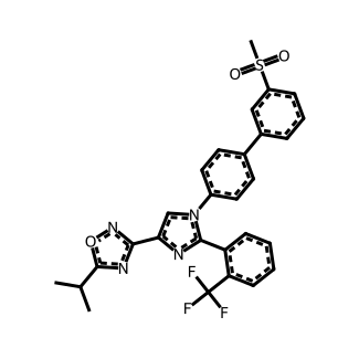 CC(C)c1nc(-c2cn(-c3ccc(-c4cccc(S(C)(=O)=O)c4)cc3)c(-c3ccccc3C(F)(F)F)n2)no1